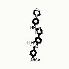 COc1ccc(COc2ccc(-c3ccnc(Nc4ccc(N5CCOCC5)cc4)n3)cc2N)cc1